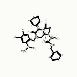 CN(C)c1cc(F)c(F)cc1CN1C[C@H]2N(C(=O)CN2N(C)C(=O)NCc2ccccc2)[C@@H](c2ccccc2)C1=O